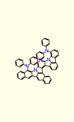 c1ccc(N(c2ccccc2)c2c3ccccc3cc3c4cc5ccccc5c5c6c7c8cccc9c%10cccc(N(c%11ccccc%11)c%11ccccc%11)c%10n(c7ncc6n(c23)c45)c98)cc1